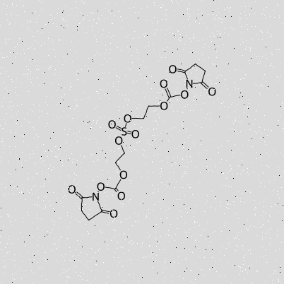 O=C(OCCOS(=O)(=O)OCCOC(=O)ON1C(=O)CCC1=O)ON1C(=O)CCC1=O